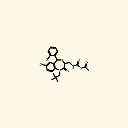 CC(=O)OC(=O)NCC1OC(c2ccccc2Cl)c2cc(Cl)ccc2N(CC(C)(C)C)C1=O